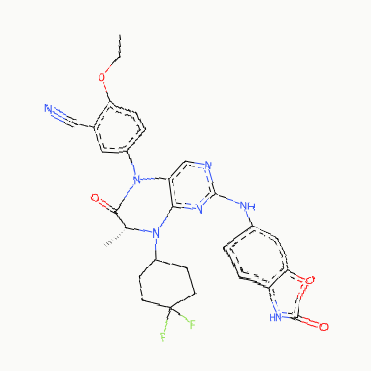 CCOc1ccc(N2C(=O)[C@@H](C)N(C3CCC(F)(F)CC3)c3nc(Nc4ccc5[nH]c(=O)oc5c4)ncc32)cc1C#N